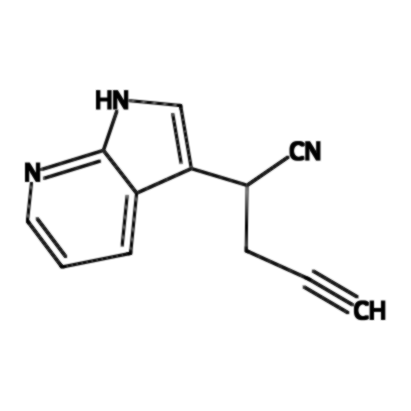 C#CCC(C#N)c1c[nH]c2ncccc12